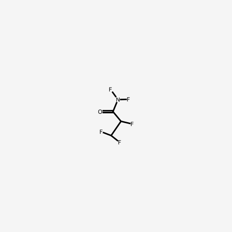 O=C(C(F)C(F)F)N(F)F